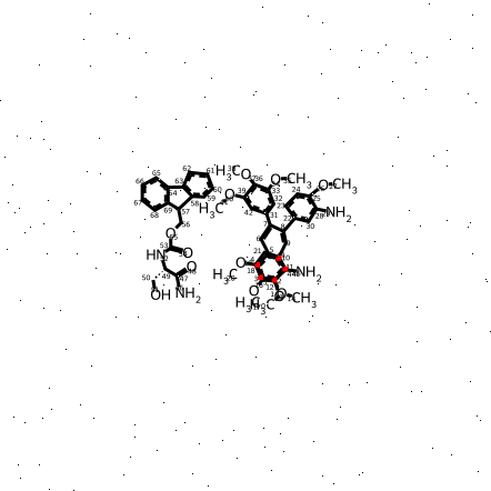 COc1ccc(/C=C(\C(=C/c2cc(OC)c(OC)c(OC)c2)c2ccc(OC)c(N)c2)c2cc(OC)c(OC)c(OC)c2)cc1N.NC(=O)[C@H](CO)NC(=O)OCC1c2ccccc2-c2ccccc21